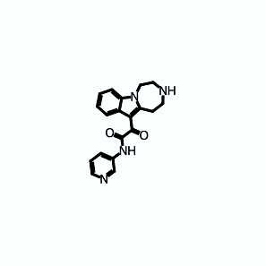 O=C(Nc1cccnc1)C(=O)c1c2n(c3ccccc13)CCNCC2